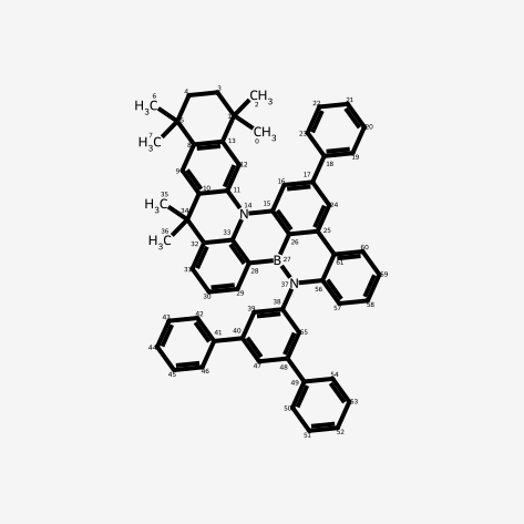 CC1(C)CCC(C)(C)c2cc3c(cc21)N1c2cc(-c4ccccc4)cc4c2B(c2cccc(c21)C3(C)C)N(c1cc(-c2ccccc2)cc(-c2ccccc2)c1)c1ccccc1-4